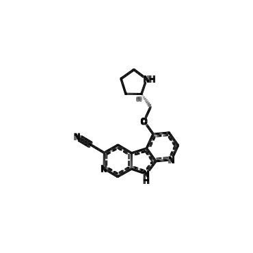 N#Cc1cc2c(cn1)[nH]c1nccc(OC[C@@H]3CCCN3)c12